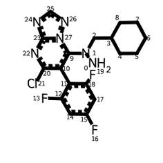 NN(CC1CCCCC1)c1c(-c2c(F)cc(F)cc2F)c(Cl)nc2ncnn12